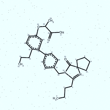 CCCCC1=NC2(CCCC2)C(=O)N1Cc1ccc(-c2cc(OC(C)C(=O)O)ccc2CCC)cc1